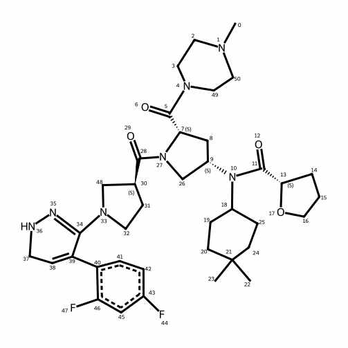 CN1CCN(C(=O)[C@@H]2C[C@H](N(C(=O)[C@@H]3CCCO3)C3CCC(C)(C)CC3)CN2C(=O)[C@H]2CCN(C3=NNCC=C3c3ccc(F)cc3F)C2)CC1